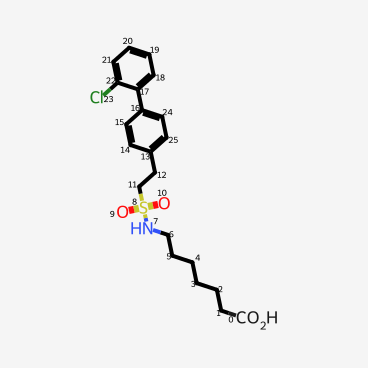 O=C(O)CCCCCCNS(=O)(=O)CCc1ccc(-c2ccccc2Cl)cc1